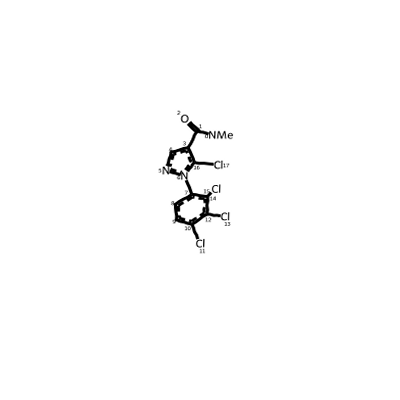 CNC(=O)c1cnn(-c2ccc(Cl)c(Cl)c2Cl)c1Cl